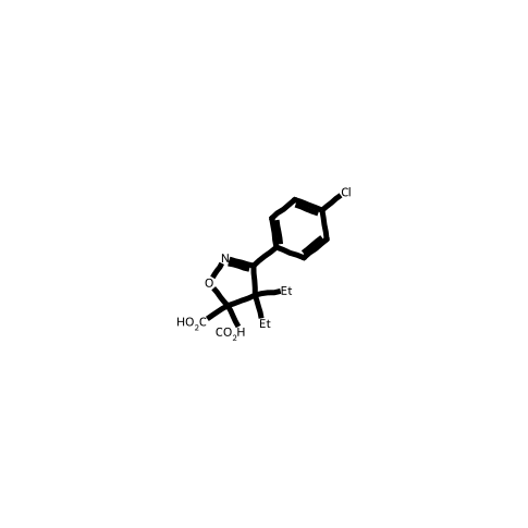 CCC1(CC)C(c2ccc(Cl)cc2)=NOC1(C(=O)O)C(=O)O